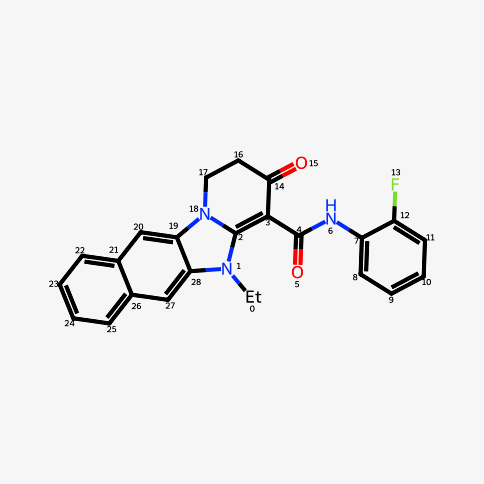 CCN1C2=C(C(=O)Nc3ccccc3F)C(=O)CCN2c2cc3ccccc3cc21